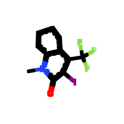 Cn1c(=O)c(I)c(C(F)(F)F)c2ccccc21